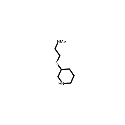 CNCCSC1CCCNC1